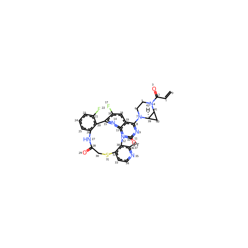 C=CC(=O)N1CCN(c2nc(=O)n3c4nc(c(F)cc24)-c2c(F)cccc2NC(=O)CSc2ccnc(C(C)C)c2-3)[C@@H]2CC21